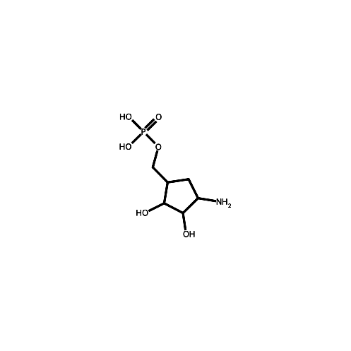 NC1CC(COP(=O)(O)O)C(O)C1O